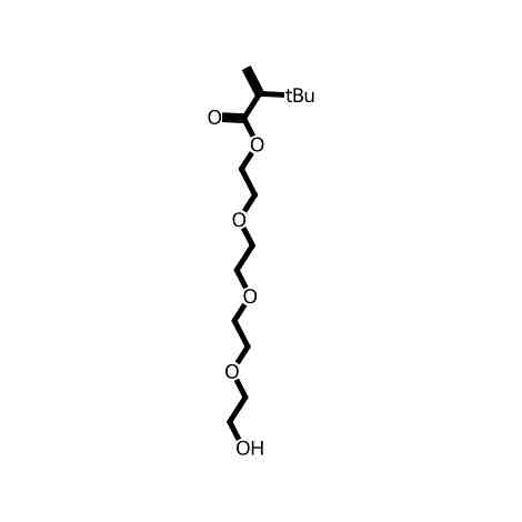 C=C(C(=O)OCCOCCOCCOCCO)C(C)(C)C